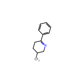 FC(F)(F)C1CCC(c2ccccc2)=NC1